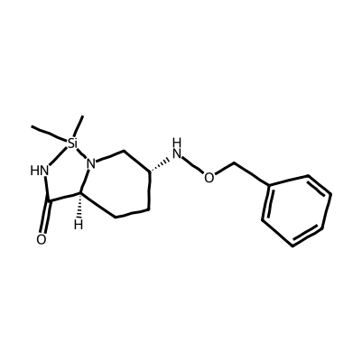 C[Si]1(C)NC(=O)[C@@H]2CC[C@@H](NOCc3ccccc3)CN21